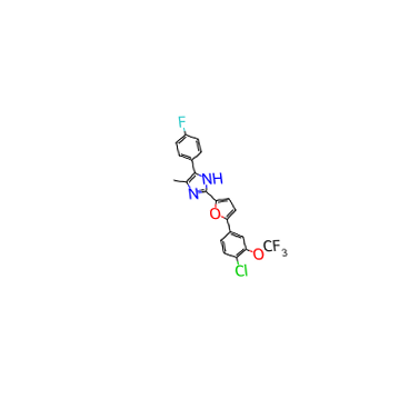 Cc1nc(-c2ccc(-c3ccc(Cl)c(OC(F)(F)F)c3)o2)[nH]c1-c1ccc(F)cc1